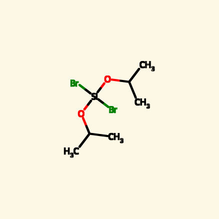 CC(C)O[Si](Br)(Br)OC(C)C